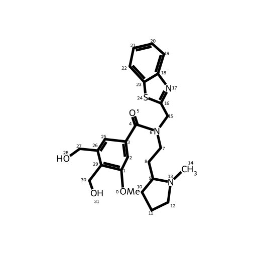 COc1cc(C(=O)N(CCC2CCCN2C)Cc2nc3ccccc3s2)cc(CO)c1CO